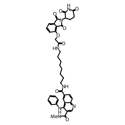 CNC(=O)c1cnc2ccc(C(=O)NCCCCCCCCNC(=O)COc3cccc4c3C(=O)N(C3CCC(=O)NC3=O)C4=O)cc2c1Nc1ccccc1